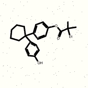 CCC(C)(C)C(=O)Oc1ccc(C2(c3ccc(O)cc3)CCCCC2)cc1